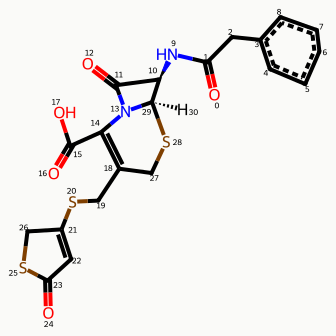 O=C(Cc1ccccc1)N[C@@H]1C(=O)N2C(C(=O)O)=C(CSC3=CC(=O)SC3)CS[C@H]12